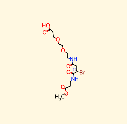 COC(=O)CCNC(=O)/C(Br)=C\C(=O)NCCOCCOCCC(=O)O